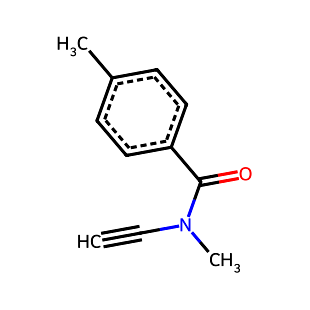 C#CN(C)C(=O)c1ccc(C)cc1